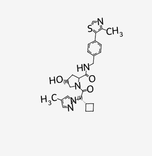 Cc1cnn([C@H](C(=O)N2C[C@H](O)CC2C(=O)NCc2ccc(-c3scnc3C)cc2)C2CCC2)c1